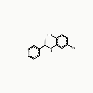 CC(Nc1cc(Br)cnc1O)c1ccccc1